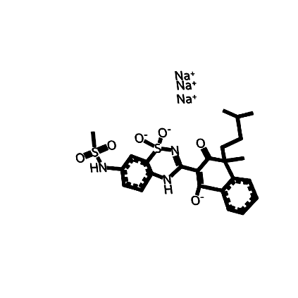 CC(C)CCC1(C)C(=O)C(C2=NS([O-])([O-])c3cc(NS(C)(=O)=O)ccc3N2)=C([O-])c2ccccc21.[Na+].[Na+].[Na+]